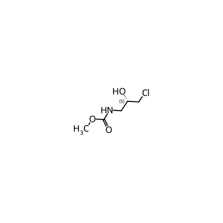 COC(=O)NC[C@H](O)CCl